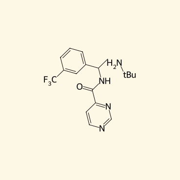 CC(C)(C)N.CC(NC(=O)c1ccncn1)c1cccc(C(F)(F)F)c1